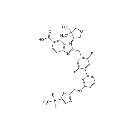 CC(F)(F)c1cnc(COc2cccc(-c3cc(F)c(Cc4nc5ccc(C(=O)O)cc5n4[C@@H]4COCC4(C)C)cc3F)n2)s1